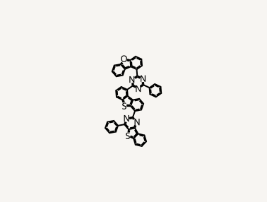 c1ccc(-c2nc(-c3cccc4oc5ccccc5c34)nc(-c3cccc4sc5c(-c6nc(-c7ccccc7)c7sc8ccccc8c7n6)cccc5c34)n2)cc1